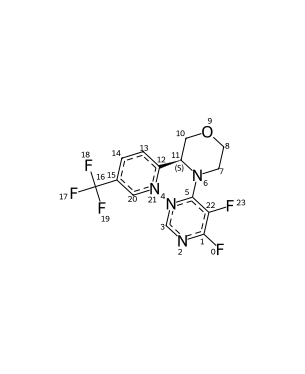 Fc1ncnc(N2CCOC[C@@H]2c2ccc(C(F)(F)F)cn2)c1F